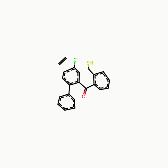 C=C.O=C(c1ccccc1CS)c1cc(Cl)ccc1-c1ccccc1